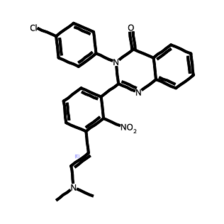 CN(C)/C=C/c1cccc(-c2nc3ccccc3c(=O)n2-c2ccc(Cl)cc2)c1[N+](=O)[O-]